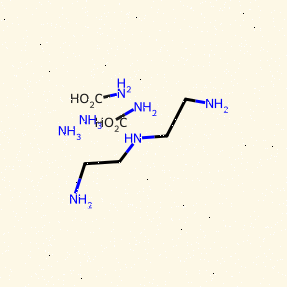 N.N.NC(=O)O.NC(=O)O.NCCNCCN